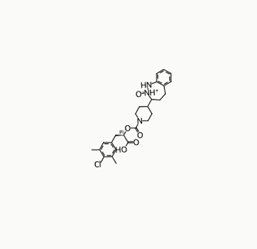 Cc1cc(C[C@@H](OC(=O)N2CCC(C3CCc4ccccc4N[NH+]3[O-])CC2)C(=O)O)cc(C)c1Cl